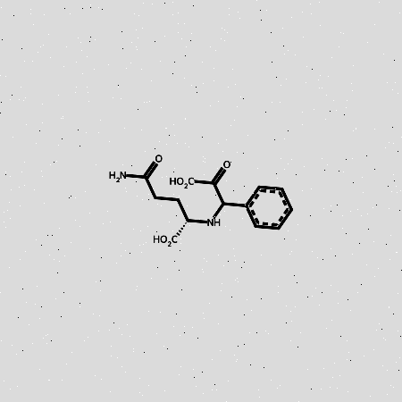 NC(=O)CC[C@H](NC(C(=O)C(=O)O)c1ccccc1)C(=O)O